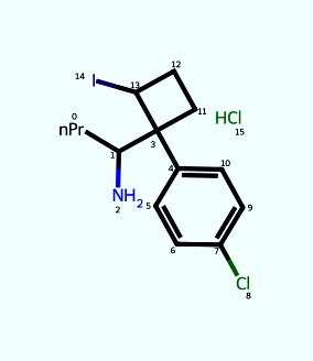 CCCC(N)C1(c2ccc(Cl)cc2)CCC1I.Cl